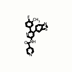 Cc1cc(-c2ncc(NC(=O)c3ccncc3)cc2-c2ccc3ncsc3c2)ccc1F